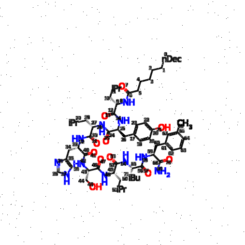 CCCCCCCCCCCCCCCC(=O)N[C@@H](CC(C)C)C(=O)N[C@@H](Cc1ccc(O)cc1)C(=O)N[C@@H](CC(C)C)C(=O)N[C@@H](Cc1c[nH]cn1)C(=O)N[C@@H](CO)C(=O)N[C@@H](CC(C)C)C(=O)N[C@H](C(=O)N[C@@H](Cc1cccc(C)c1)C(N)=O)[C@@H](C)CC